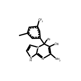 Cc1cc(C(F)(F)F)cc(C2(C(C)C)C(C#N)=C(N)N=C3NC=CN32)c1